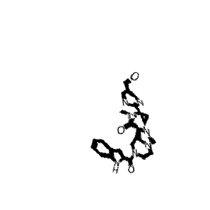 CN(C(=O)c1ncn2c1CN(C(=O)c1cc3ccccc3[nH]1)CC2)C1(c2ncc(C=O)cn2)CC1